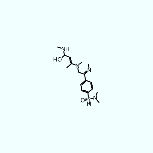 C/N=C(\CN(C)/C(C)=C/C(O)NC)c1ccc([SH](C)(=O)N(C)C)cc1